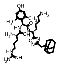 Cc1cc(O)cc(C)c1[C@H](NC(=O)[C@H](N)CCCNC(=N)N)C(=O)N[C@@H](CCCCN)c1nc(CC23CC4CC(CC(C4)C2)C3)no1